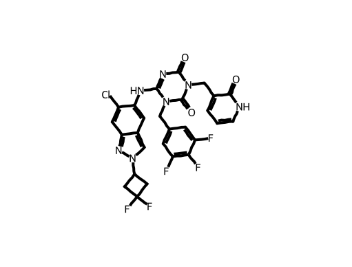 O=c1[nH]cccc1Cn1c(=O)nc(Nc2cc3cn(C4CC(F)(F)C4)nc3cc2Cl)n(Cc2cc(F)c(F)c(F)c2)c1=O